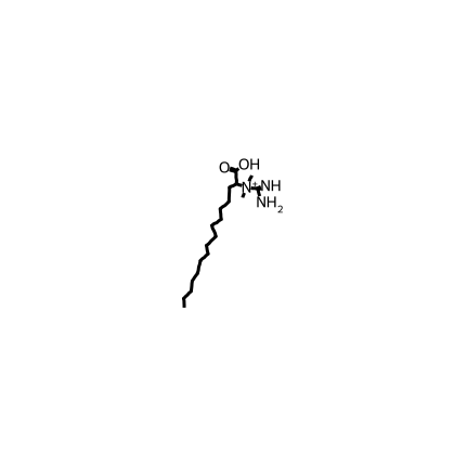 CCCCCCCCCCCCCCC(C(=O)O)[N+](C)(C)C(=N)N